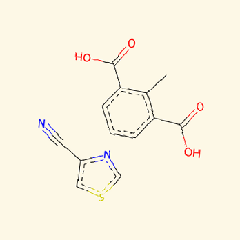 Cc1c(C(=O)O)cccc1C(=O)O.N#Cc1cscn1